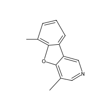 Cc1cccc2c1oc1c(C)cncc12